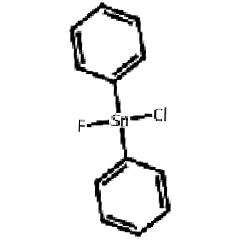 [F][Sn]([Cl])([c]1ccccc1)[c]1ccccc1